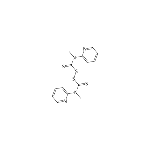 CN(C(=S)SSC(=S)N(C)c1ccccn1)c1ccccn1